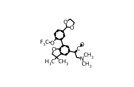 CN(C)CC(=C=O)c1cc(-c2cc(C3OCCO3)ccc2OC(F)(F)F)c2c(c1)C(C)(C)CO2